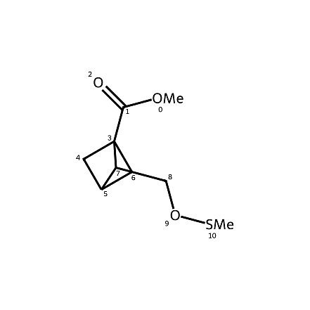 COC(=O)C12CC(C1)C2COSC